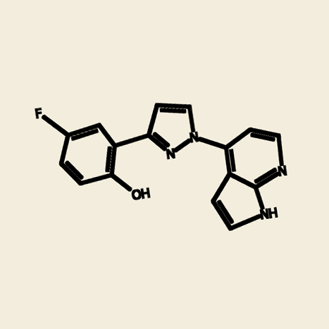 Oc1ccc(F)cc1-c1ccn(-c2ccnc3[nH]ccc23)n1